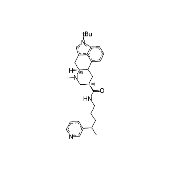 CC(CCCNC(=O)[C@@H]1CC2c3cccc4c3c(cn4C(C)(C)C)C[C@H]2N(C)C1)c1cccnc1